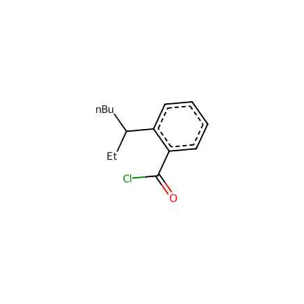 CCCCC(CC)c1ccccc1C(=O)Cl